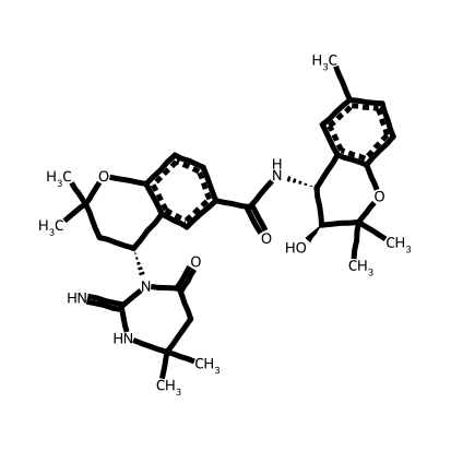 Cc1ccc2c(c1)[C@@H](NC(=O)c1ccc3c(c1)[C@H](N1C(=N)NC(C)(C)CC1=O)CC(C)(C)O3)[C@H](O)C(C)(C)O2